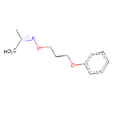 C/C(=N/OCCCOc1ccccc1)C(=O)O